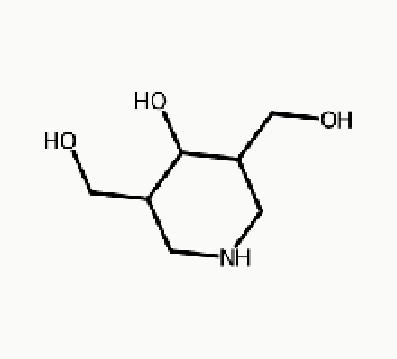 OCC1CNCC(CO)C1O